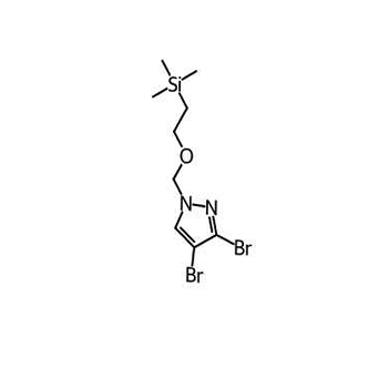 C[Si](C)(C)CCOCn1cc(Br)c(Br)n1